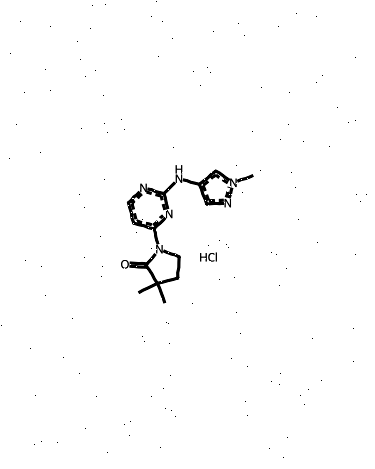 Cl.Cn1cc(Nc2nccc(N3CCC(C)(C)C3=O)n2)cn1